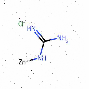 N=C(N)[NH][Zn+].[Cl-]